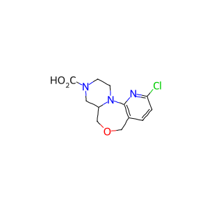 O=C(O)N1CCN2c3nc(Cl)ccc3COCC2C1